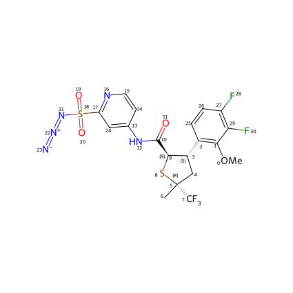 COc1c([C@@H]2C[C@](C)(C(F)(F)F)S[C@H]2C(=O)Nc2ccnc(S(=O)(=O)N=[N+]=[N-])c2)ccc(F)c1F